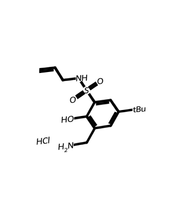 C=CCNS(=O)(=O)c1cc(C(C)(C)C)cc(CN)c1O.Cl